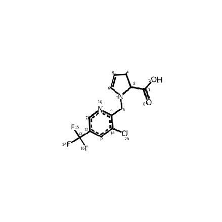 O=C(O)C1CC=CN1Cc1ncc(C(F)(F)F)cc1Cl